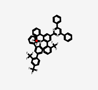 FC(F)(F)c1ccc(-c2ccc3c(c2)c2ccccc2n3-c2c(-c3ccccc3C(F)(F)F)cc(-c3nc(-c4ccccc4)cc(-c4ccccc4)n3)cc2-c2ccccc2C(F)(F)F)c(C(F)(F)F)c1